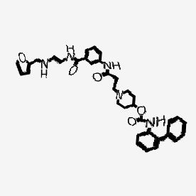 O=C(CCN1CCC(OC(=O)Nc2ccccc2-c2ccccc2)CC1)Nc1cccc(C(=O)NCCNCc2ccco2)c1